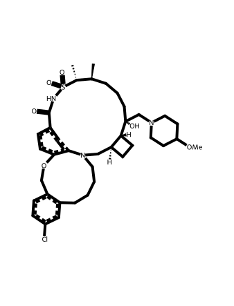 COC1CCN(C[C@]2(O)CCC[C@H](C)[C@@H](C)S(=O)(=O)NC(=O)c3ccc4c(c3)N(CCCCc3cc(Cl)ccc3CO4)C[C@@H]3CC[C@H]32)CC1